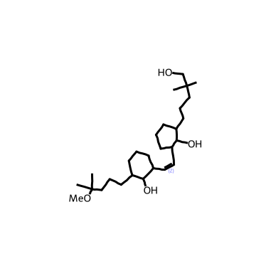 COC(C)(C)CCCC1CCCC(/C=C\C2CCCC(CCCC(C)(C)CO)C2O)C1O